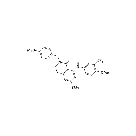 COc1ccc(CN2CCc3nc(SC)nc(Nc4ccc(OC)c(C(F)(F)F)c4)c3C2=O)cc1